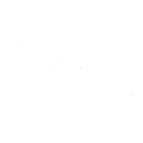 CCCC=CC1COC(CCC2COC(C3CCC(CCCC)CC3)OC2)OC1